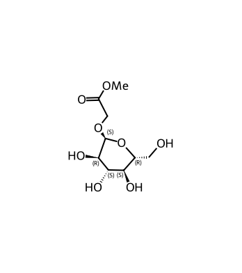 COC(=O)CO[C@H]1O[C@H](CO)[C@@H](O)[C@H](O)[C@H]1O